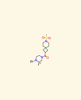 CC(C)N1CCN(C(=O)C2CC3(CCN(S(C)(=O)=O)CC3)C2)C[C@H]1C